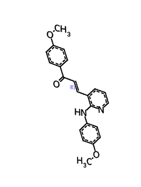 COc1ccc(Nc2ncccc2/C=C/C(=O)c2ccc(OC)cc2)cc1